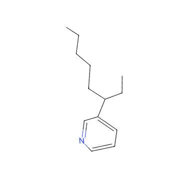 CCCCCC(CC)c1cccnc1